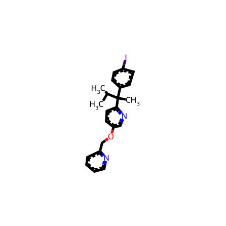 CC(C)C(C)(c1ccc(I)cc1)c1ccc(OCc2ccccn2)cn1